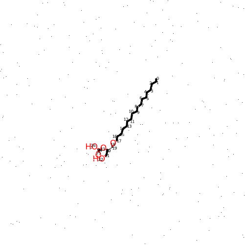 CCCCCCCCCCCCCCCCCCOC[C@H](CO)OC(=O)O